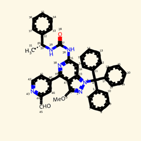 COc1nn(C(c2ccccc2)(c2ccccc2)c2ccccc2)c2cc(NC(=O)N[C@H](C)c3ccccc3)nc(-c3ccnc(C=O)c3)c12